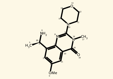 COc1cc([C@@H](C)N)c2nc(N3CCOCC3)n(C)c(=O)c2c1